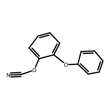 N#COc1ccccc1Oc1ccccc1